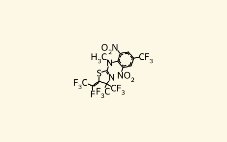 CN(C1=NC(C(F)(F)F)(C(F)(F)F)/C(=C(\F)C(F)(F)F)S1)c1c([N+](=O)[O-])cc(C(F)(F)F)cc1[N+](=O)[O-]